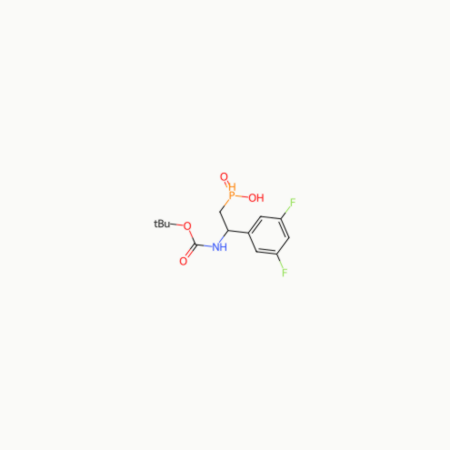 CC(C)(C)OC(=O)NC(C[PH](=O)O)c1cc(F)cc(F)c1